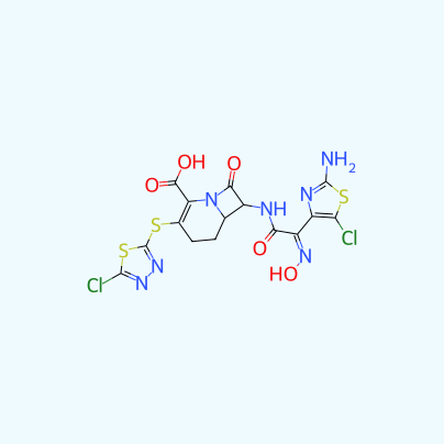 Nc1nc(/C(=N/O)C(=O)NC2C(=O)N3C(C(=O)O)=C(Sc4nnc(Cl)s4)CCC23)c(Cl)s1